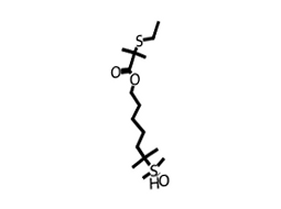 CCSC(C)(C)C(=O)OCCCCCC(C)(C)[SH](C)(C)=O